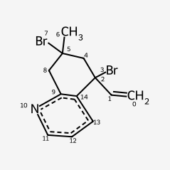 C=CC1(Br)CC(C)(Br)Cc2ncccc21